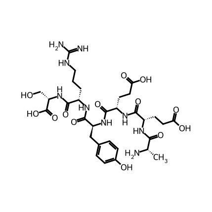 C[C@H](N)C(=O)N[C@@H](CCC(=O)O)C(=O)N[C@@H](CCC(=O)O)C(=O)N[C@@H](Cc1ccc(O)cc1)C(=O)N[C@@H](CCCNC(=N)N)C(=O)N[C@@H](CO)C(=O)O